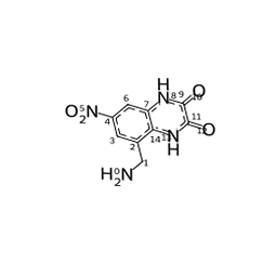 NCc1cc([N+](=O)[O-])cc2[nH]c(=O)c(=O)[nH]c12